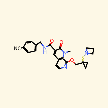 Cn1c(=O)c(C(=O)NCc2ccc(C#N)cc2)cc2ccnc(OCC3(SN4CCC4)CC3)c21